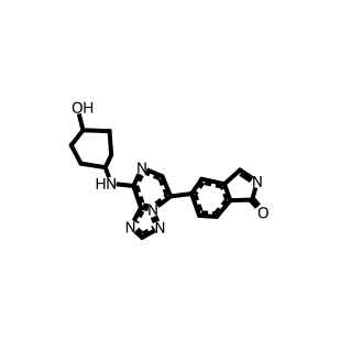 O=C1N=Cc2cc(-c3cnc(NC4CCC(O)CC4)c4ncnn34)ccc21